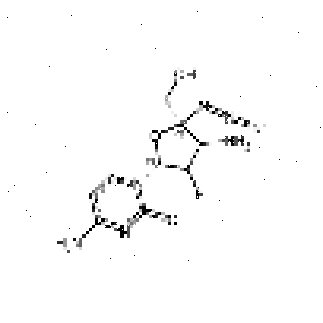 [N-]=[N+]=N[C@]1(CO)O[C@@H](n2ccc(N)nc2=O)C(F)C1N